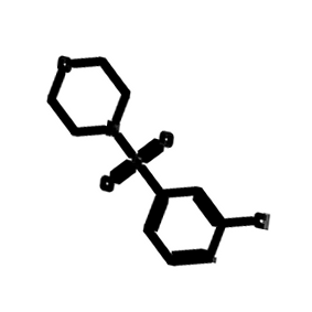 O=S(=O)(c1cc[c]c(Cl)c1)N1CCOCC1